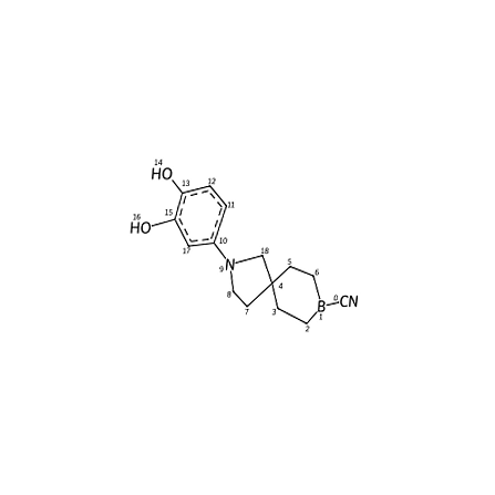 N#CB1CCC2(CC1)CCN(c1ccc(O)c(O)c1)C2